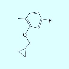 Cc1ccc(F)cc1OCC1CC1